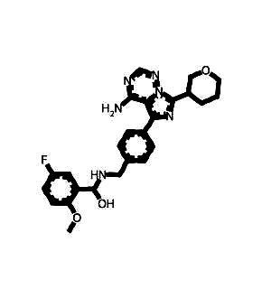 COc1ccc(F)cc1C(O)NCc1ccc(-c2nc(C3CCCOC3)n3ncnc(N)c23)cc1